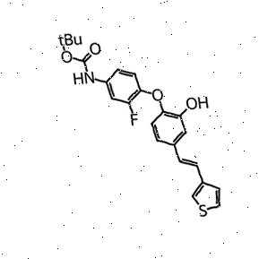 CC(C)(C)OC(=O)Nc1ccc(Oc2ccc(/C=C/c3ccsc3)cc2O)c(F)c1